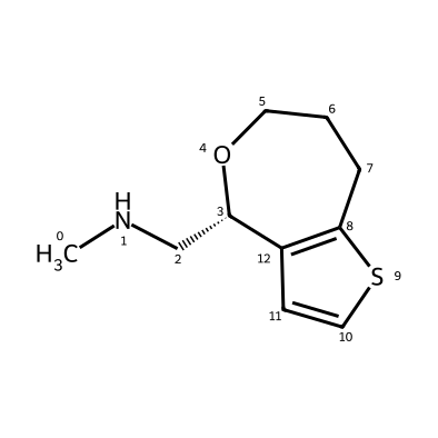 CNC[C@@H]1OCCCc2sccc21